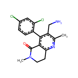 Cc1nc2c(c(-c3ccc(Cl)cc3Cl)c1CN)C(=O)N(C)CC2